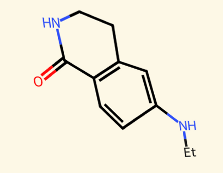 CCNc1ccc2c(c1)CCNC2=O